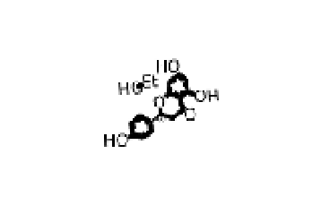 CCO.O=C1C[C@@H](c2ccc(O)cc2)Oc2cc(O)cc(O)c21